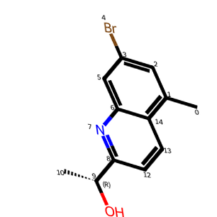 Cc1cc(Br)cc2nc([C@@H](C)O)ccc12